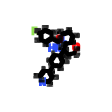 O=C(NC1(c2ccc(-c3ccncc3)cc2)CCOc2cccnc21)c1ccc(F)cc1